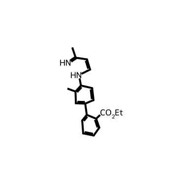 CCOC(=O)c1ccccc1-c1ccc(N/C=C\C(C)=N)c(C)c1